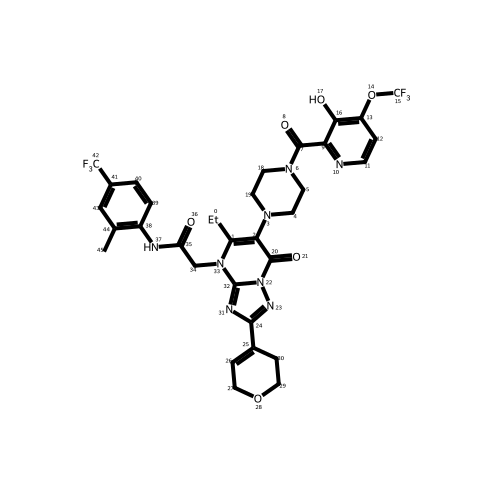 CCc1c(N2CCN(C(=O)c3nccc(OC(F)(F)F)c3O)CC2)c(=O)n2nc(C3=CCOCC3)nc2n1CC(=O)Nc1ccc(C(F)(F)F)cc1C